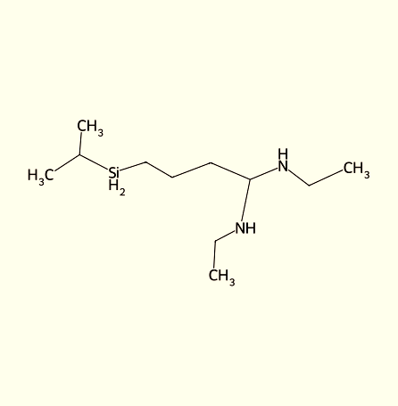 CCNC(CCC[SiH2]C(C)C)NCC